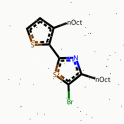 CCCCCCCCc1ccsc1-c1nc(CCCCCCCC)c(Br)s1